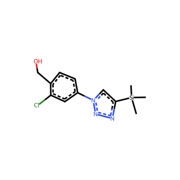 C[Si](C)(C)c1cn(-c2ccc(CO)c(Cl)c2)nn1